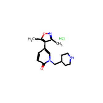 Cc1noc(C)c1-c1ccc(=O)n(CC2CCNCC2)c1.Cl